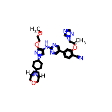 COCCOc1nn(C2CCC(N3[C@@H]4CC[C@H]3COC4)CC2)cc1Nc1ncc(-c2ccc(C#N)c(O[C@@H](C)Cn3cncn3)c2)cn1